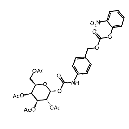 CC(=O)OC[C@H]1O[C@H](OC(=O)Nc2ccc(COC(=O)Oc3ccccc3[N+](=O)[O-])cc2)[C@H](OC(C)=O)[C@@H](OC(C)=O)[C@H]1OC(C)=O